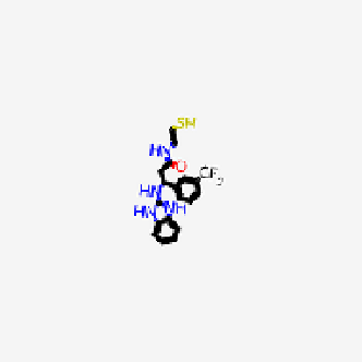 O=C(CC(NC1Nc2ccccc2N1)c1cccc(C(F)(F)F)c1)NCCS